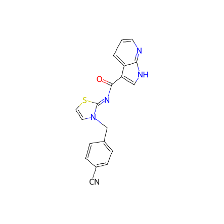 N#Cc1ccc(Cn2ccsc2=NC(=O)c2c[nH]c3ncccc23)cc1